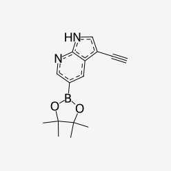 C#Cc1c[nH]c2ncc(B3OC(C)(C)C(C)(C)O3)cc12